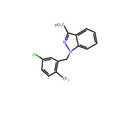 O=C(O)c1nn(Cc2cc(Cl)ccc2C(F)(F)F)c2ccccc12